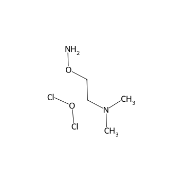 CN(C)CCON.ClOCl